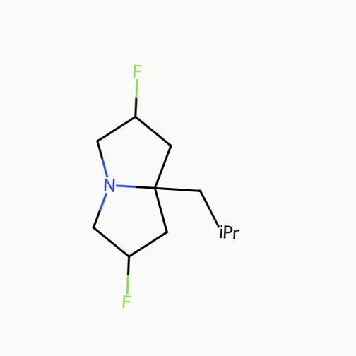 CC(C)CC12CC(F)CN1CC(F)C2